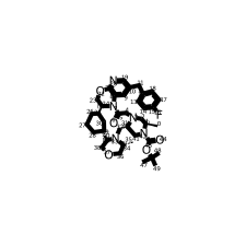 C[C@@H]1CN(CC(=O)N2c3cc(Cc4ccc(F)cc4)cnc3OC[C@@H]2C2CCCCC2)[C@@H](CN2[C@H](C)COC[C@H]2C)CN1C(=O)OC(C)(C)C